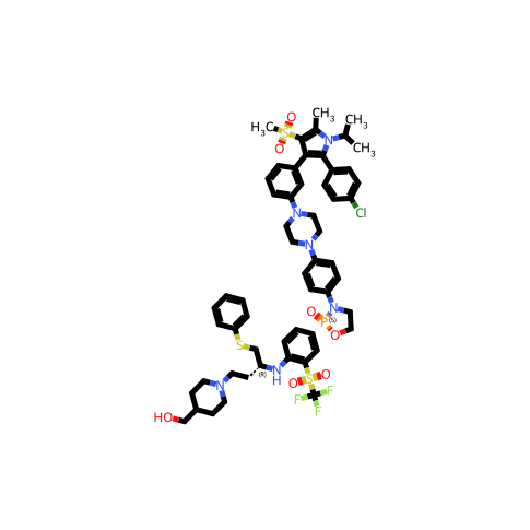 Cc1c(S(C)(=O)=O)c(-c2cccc(N3CCN(c4ccc(N5CCO[P@@]5(=O)c5ccc(N[C@H](CCN6CCC(CO)CC6)CSc6ccccc6)c(S(=O)(=O)C(F)(F)F)c5)cc4)CC3)c2)c(-c2ccc(Cl)cc2)n1C(C)C